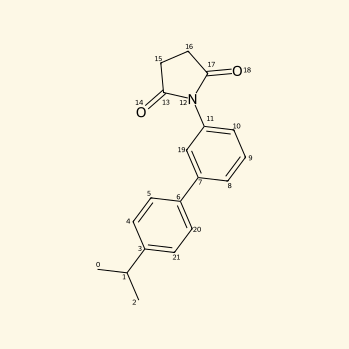 CC(C)c1ccc(-c2cccc(N3C(=O)CCC3=O)c2)cc1